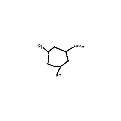 CNC1CC(C(C)C)CC(C(C)C)C1